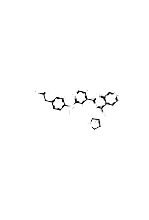 NC(=O)Cc1ccc(Nc2cc(-c3nc(N[C@@H]4CCNC4)c4ccncc4n3)ccn2)cc1